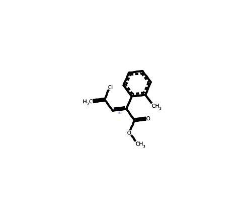 C=C(Cl)/C=C(/C(=O)OC)c1ccccc1C